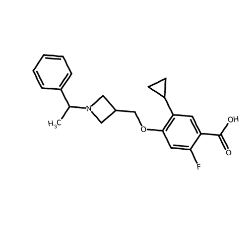 CC(c1ccccc1)N1CC(COc2cc(F)c(C(=O)O)cc2C2CC2)C1